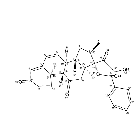 C[C@@H]1C[C@H]2[C@@H]3C=CC4=CC(=O)C=C[C@]4(C)[C@H]3C(=O)C[C@]2(C)[C@]1(OC(=O)c1ccccc1)C(=O)CO